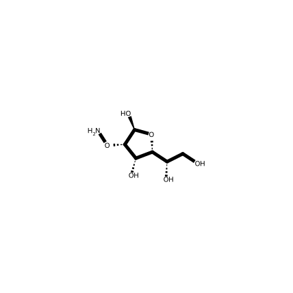 NO[C@H]1[C@@H](O)[C@@H]([C@@H](O)CO)O[C@@H]1O